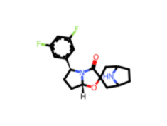 O=C1N2[C@@H](CC[C@H]2c2cc(F)cc(F)c2)OC12CC1CCC(C2)N1